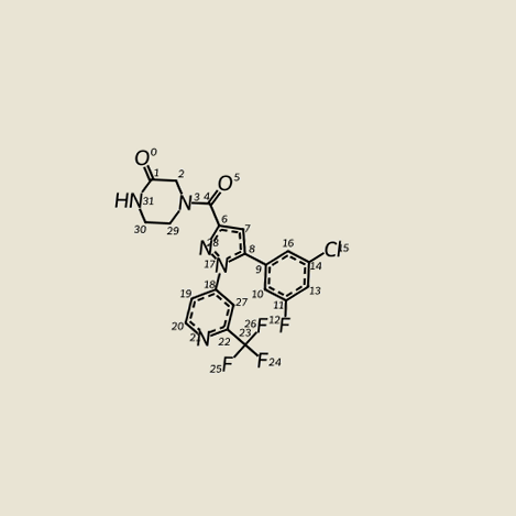 O=C1CN(C(=O)c2cc(-c3cc(F)cc(Cl)c3)n(-c3ccnc(C(F)(F)F)c3)n2)CCN1